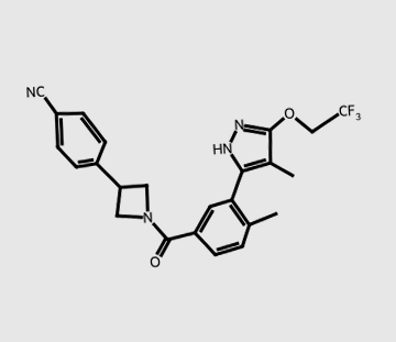 Cc1ccc(C(=O)N2CC(c3ccc(C#N)cc3)C2)cc1-c1[nH]nc(OCC(F)(F)F)c1C